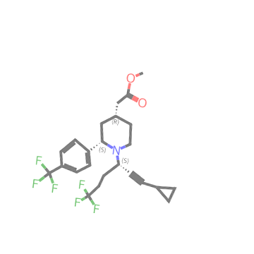 COC(=O)C[C@@H]1CCN([C@H](C#CC2CC2)CCC(F)(F)F)[C@H](c2ccc(C(F)(F)F)cc2)C1